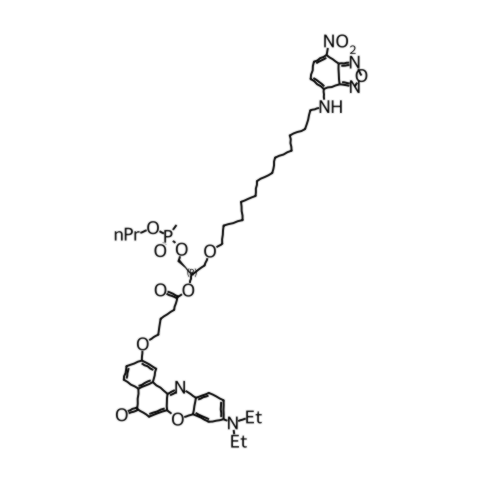 CCCOP(C)(=O)OC[C@@H](COCCCCCCCCCCCCNc1ccc([N+](=O)[O-])c2nonc12)OC(=O)CCCOc1ccc2c(=O)cc3oc4cc(N(CC)CC)ccc4nc-3c2c1